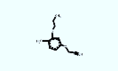 C#CCOc1ccc(C)c(SCCC)c1